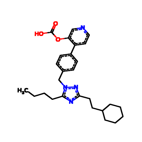 CCCCc1nc(CCC2CCCCC2)nn1Cc1ccc(-c2ccncc2OC(=O)O)cc1